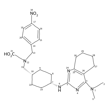 CN(C)c1nc(N[C@H]2CC[C@@H](CN(Cc3ccc([N+](=O)[O-])cc3)C(=O)O)CC2)nc2c1CCCC2